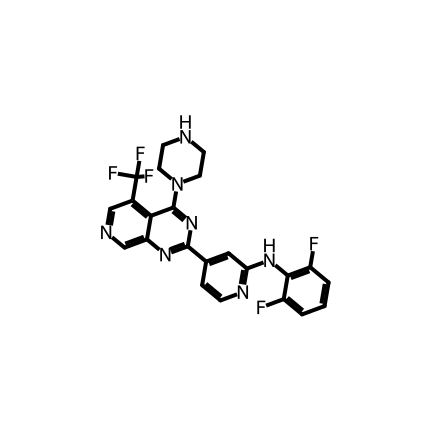 Fc1cccc(F)c1Nc1cc(-c2nc(N3CCNCC3)c3c(C(F)(F)F)cncc3n2)ccn1